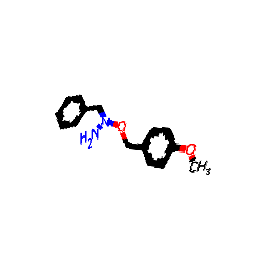 COc1ccc(CON(N)Cc2ccccc2)cc1